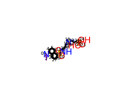 CN(I)c1cccc2c(S(=O)(=O)NCCC[N+](C)(C)CCCP(=O)(O)O)cccc12